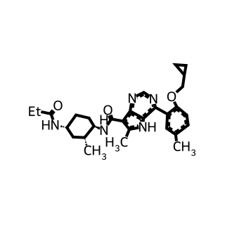 CCC(=O)N[C@@H]1CC[C@@H](NC(=O)c2c(C)[nH]c3c(-c4cc(C)ccc4OCC4CC4)ncnc23)[C@H](C)C1